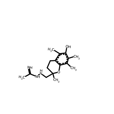 CC(=N)NNCC1(C)CCc2c(C)c(O)c(C)c(C)c2O1